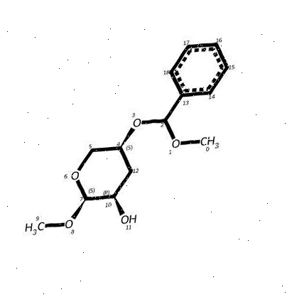 COC(O[C@@H]1CO[C@H](OC)[C@H](O)C1)c1ccccc1